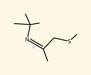 CSC/C(C)=N\C(C)(C)C